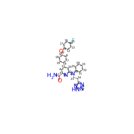 NC(=O)c1cc(-c2ccc(Oc3ccc(F)cc3)cc2)cc(N(CCc2nn[nH]n2)c2ccccc2)n1